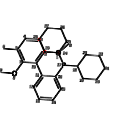 COc1ccc(C)c(OC)c1-c1ccccc1P(C1CCCCC1)C1CCCCC1